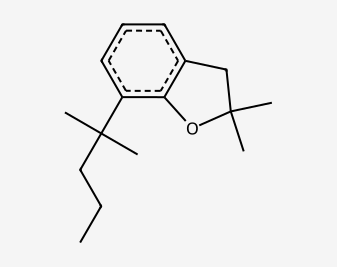 CCCC(C)(C)c1cccc2c1OC(C)(C)C2